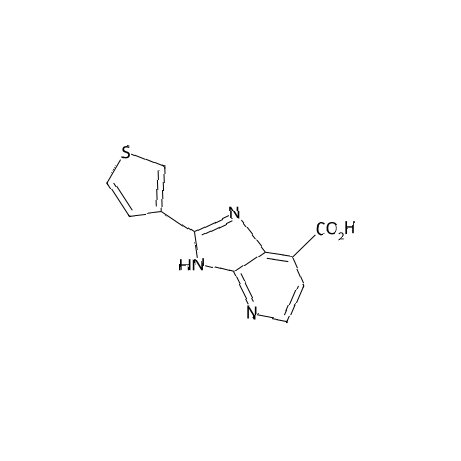 O=C(O)c1ccnc2[nH]c(-c3ccsc3)nc12